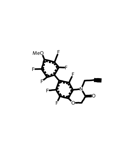 C#CCN1C(=O)COc2c(F)c(F)c(-c3c(F)c(F)c(OC)c(F)c3F)c(F)c21